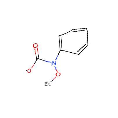 CCON(C([O])=O)c1ccccc1